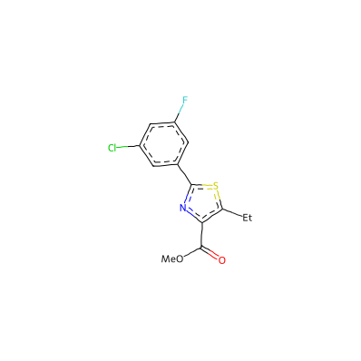 CCc1sc(-c2cc(F)cc(Cl)c2)nc1C(=O)OC